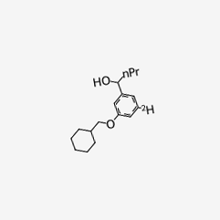 [2H]c1cc(OCC2CCCCC2)cc(C(O)CCC)c1